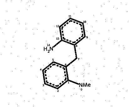 CNc1ccccc1Cc1ccccc1N